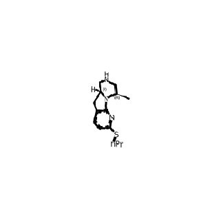 CCCSc1ccc2c(n1)N1[C@@H](CNC[C@H]1C)C2